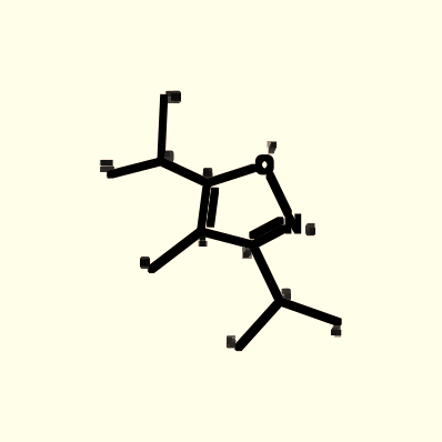 Cc1c(C(C)C)noc1C(C)C